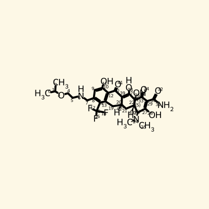 CC(C)OCCNCc1cc(O)c2c(c1C(F)(F)F)C[C@H]1C[C@H]3[C@H](N(C)C)C(O)=C(C(N)=O)C(=O)[C@@]3(O)C(O)=C1C2=O